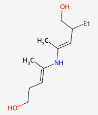 CCC(/C=C(\C)N/C(C)=C/CCO)CO